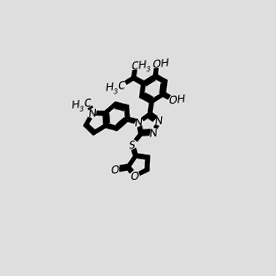 CC(C)c1cc(-c2nnc(SC3CCOC3=O)n2-c2ccc3c(c2)CCN3C)c(O)cc1O